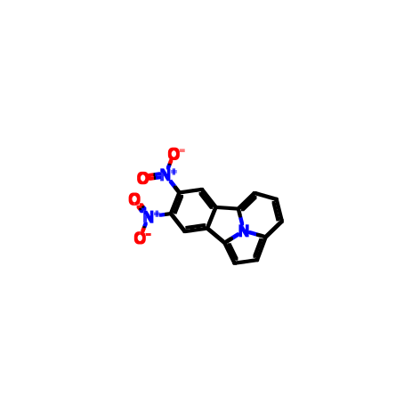 O=[N+]([O-])c1cc2c(cc1[N+](=O)[O-])c1ccc3cccc2n31